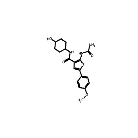 COc1ccc(-c2cc(C(=O)NC3CCC(O)CC3)c(NC(N)=O)s2)cc1